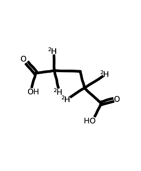 [2H]C([2H])(CC([2H])([2H])C(=O)O)C(=O)O